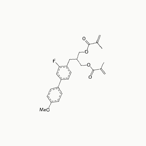 C=C(C)C(=O)OCC(COC(=O)C(=C)C)Cc1ccc(-c2ccc(OC)cc2)cc1F